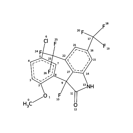 COc1ccc(Cl)cc1C1(F)C(=O)Nc2cc(C(F)(F)F)cc(C(F)(F)F)c21